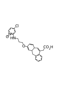 O=C(O)CC1=CC2C=CC(OCCCNc3cc(Cl)cc[n+]3[O-])=CC2Cc2ccccc21